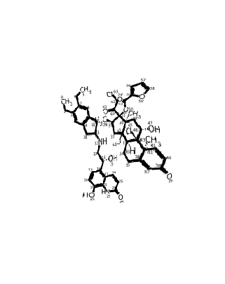 CCc1cc2c(cc1CC)CC(NC[C@H](O)c1ccc(O)c3[nH]c(=O)ccc13)C2.C[C@@H]1C[C@H]2[C@@H]3CCC4=CC(=O)C=C[C@]4(C)[C@@]3(Cl)[C@@H](O)C[C@]2(C)[C@@]1(OC(=O)c1ccco1)C(=O)CCl